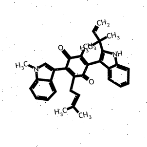 C=CC(C)(C)c1[nH]c2ccccc2c1C1=C(C)C(=O)C(c2cn(C)c3ccccc23)=C(CC=C(C)C)C1=O